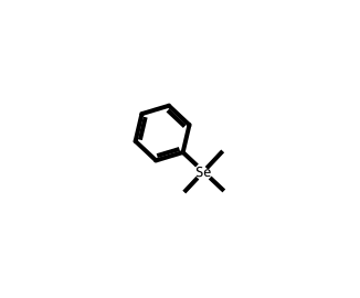 C[Se](C)(C)c1ccccc1